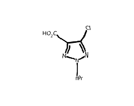 CCCn1nc(Cl)c(C(=O)O)n1